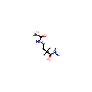 CN(C)C(=O)C(C)(C)CCNC(=O)C(C)(C)C